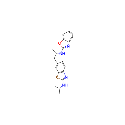 CC(C)Nc1nc2ccc(CC(C)Nc3nc4ccccc4o3)cc2s1